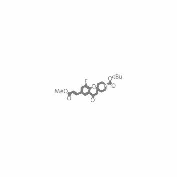 COC(=O)C=Cc1cc(F)c2c(c1)C(=O)CC1(CCN(C(=O)OC(C)(C)C)CC1)O2